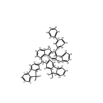 CC1(C)c2ccccc2-c2ccc(N(c3ccc4c(c3)C(C)(C)c3ccccc3-4)c3cccc4oc5c(-c6cccc(-c7ccccc7)c6)c6c(cc5c34)oc3ccccc36)cc21